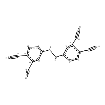 N#Cc1ccc(SSc2ccc(C#N)c(C#N)c2)cc1C#N